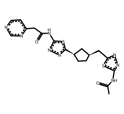 CC(=O)Nc1nnc(C[C@H]2CC[C@@H](c3nnc(NC(=O)Cc4ccncn4)s3)C2)s1